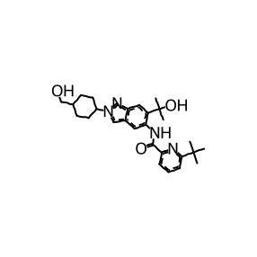 CC(C)(C)c1cccc(C(=O)Nc2cc3cn(C4CCC(CO)CC4)nc3cc2C(C)(C)O)n1